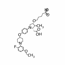 CCOc1ccc(F)c(N2CCC(Oc3ccc(N4C[C@H](OCCCC[SH](=O)=O)[C@@H](C)[C@@H]4CC(=O)O)cc3)CC2)c1